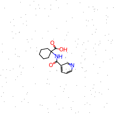 O=C(NC1(C(=O)O)CCCCC1)c1cccnc1